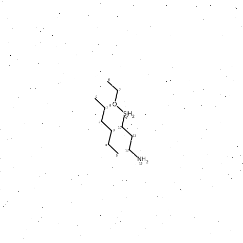 CCCCCC.CCO[SiH2]CCCN